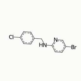 Clc1ccc(CNc2ccc(Br)cn2)cc1